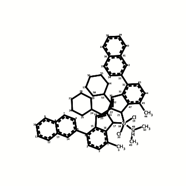 Cc1ccc(-c2ccc3ccccc3c2)c2c1[CH]([Zr]([Cl])([Cl])([CH]1C(CC3CCCCC3)=Cc3c(-c4ccc5ccccc5c4)ccc(C)c31)[SiH](C)C)C(CC1CCCCC1)=C2